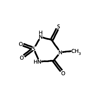 CN1C(=O)NS(=O)(=O)NC1=S